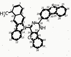 CC1C=CC=C2C=c3c(c4ccccc4n3C3=NC(c4ccc5sc6ccccc6c5c4)Nc4c3oc3ccccc43)=CC21